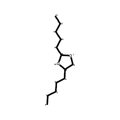 CCCCCC1COC(CCCCC)O1